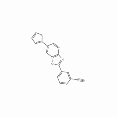 N#Cc1cccc(-c2nc3ccc(-c4ccco4)cc3o2)c1